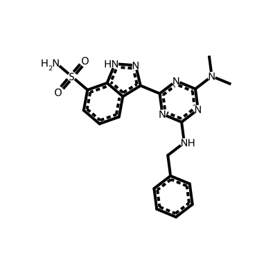 CN(C)c1nc(NCc2ccccc2)nc(-c2n[nH]c3c(S(N)(=O)=O)cccc23)n1